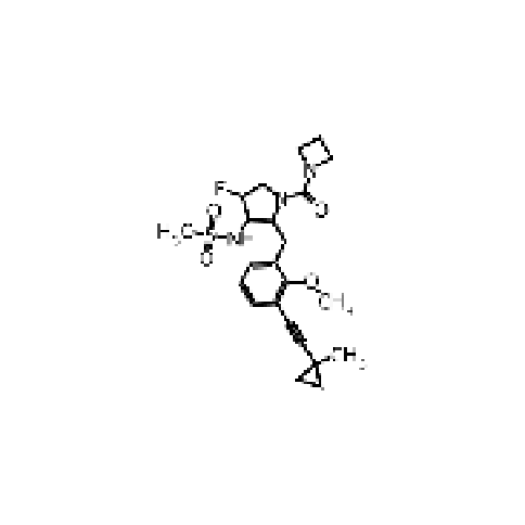 COc1c(C#CC2(C)CC2)cccc1CC1C(NS(C)(=O)=O)C(F)CN1C(=O)N1CCC1